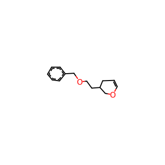 C1=COCC(CCOCc2ccccc2)C1